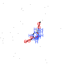 C#COCCOCNC(=S)NC12CNCCNCC(NC(=O)CCOCCOC)(CNCCNC1)CNCCNC2